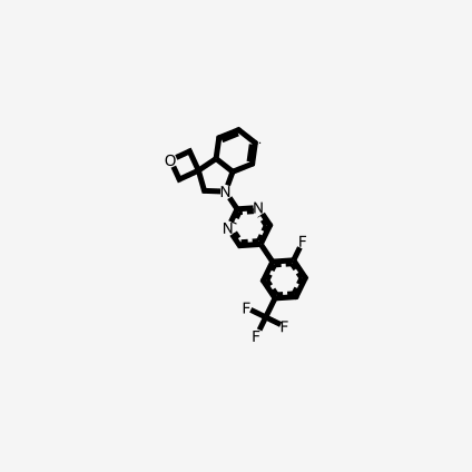 Fc1ccc(C(F)(F)F)cc1-c1cnc(N2CC3(COC3)C3C=C[C]=CC32)nc1